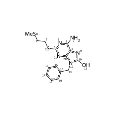 CSCCSc1nc(N)c2nc(O)n(Cc3ccccc3)c2n1